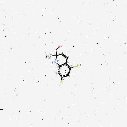 CC1(CBr)C=Cc2c(F)cc(F)cc2N1